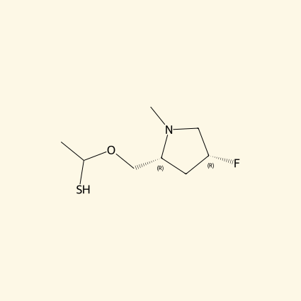 CC(S)OC[C@H]1C[C@@H](F)CN1C